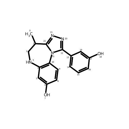 CC1CNc2cc(O)ccc2-n2c(-c3cccc(O)c3)nnc21